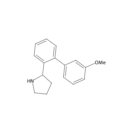 COc1cccc(-c2ccccc2C2CCCN2)c1